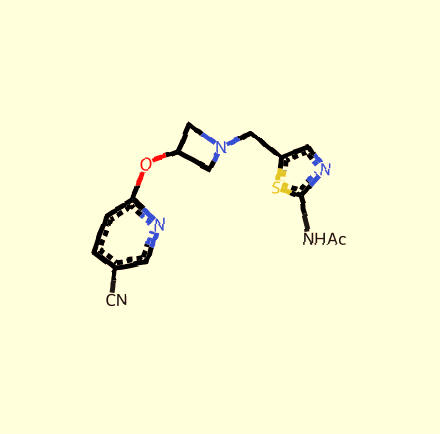 CC(=O)Nc1ncc(CN2CC(Oc3ccc(C#N)cn3)C2)s1